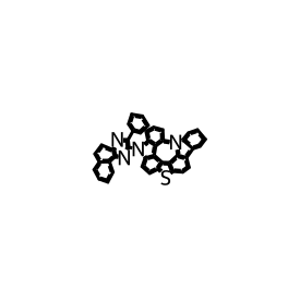 c1ccc(-c2nc3ccc4ccccc4c3nc2-n2c3ccc4sc5ccc6c7ccccc7n7c8cccc2c8c3c4c5c67)cc1